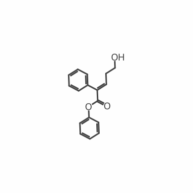 O=C(Oc1ccccc1)C(=CCCO)c1ccccc1